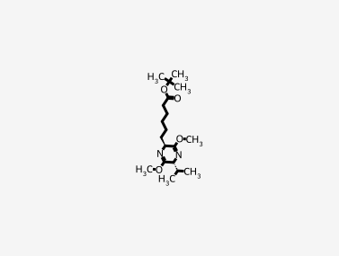 COC1=N[C@H](C(C)C)C(OC)=N[C@H]1CCCCCC(=O)OC(C)(C)C